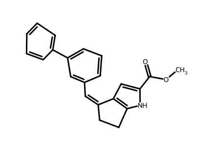 COC(=O)c1cc2c([nH]1)CCC2=Cc1cccc(-c2ccccc2)c1